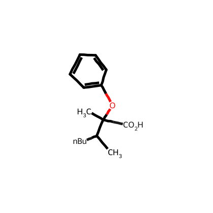 CCCCC(C)C(C)(Oc1ccccc1)C(=O)O